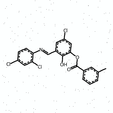 Cc1cccc(C(=O)Oc2cc(Cl)cc(C=Nc3ccc(Cl)cc3Cl)c2O)c1